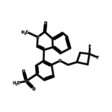 Cn1cc(-c2cc(S(C)(=O)=O)ccc2OCC2CC(F)(F)C2)c2ccccc2c1=O